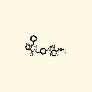 Nc1ncnc2c1ncn2-c1ccc(CNC(=O)c2ccnn2Cc2ccccc2)cc1